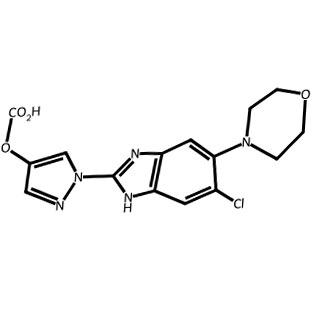 O=C(O)Oc1cnn(-c2nc3cc(N4CCOCC4)c(Cl)cc3[nH]2)c1